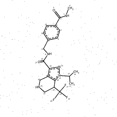 CNC(=O)c1ccc(CNC(=O)c2nn(C(C)C)c3c2CNCC3C(F)(F)F)cc1